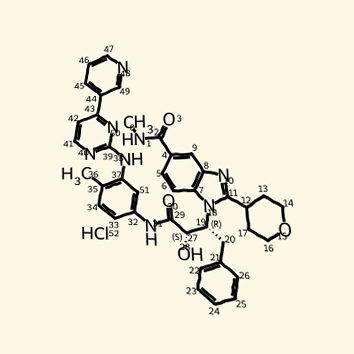 CNC(=O)c1ccc2c(c1)nc(C1CCOCC1)n2[C@H](Cc1ccccc1)[C@H](O)C(=O)Nc1ccc(C)c(Nc2nccc(-c3cccnc3)n2)c1.Cl